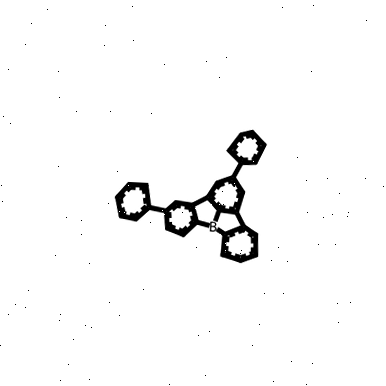 c1ccc(-c2ccc3c(c2)-c2cc(-c4ccccc4)cc4c2B3c2ccccc2-4)cc1